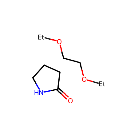 CCOCCOCC.O=C1CCCN1